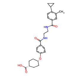 Cc1cc(C(=O)NCCNC(=O)c2ccc(O[C@H]3CC[C@@H](C(=O)O)CC3)cc2)ccc1C1CC1